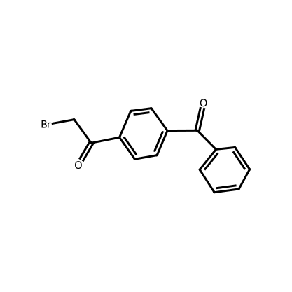 O=C(CBr)c1ccc(C(=O)c2ccccc2)cc1